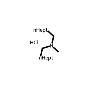 CCCCCCCCN(C)CCCCCCCC.Cl